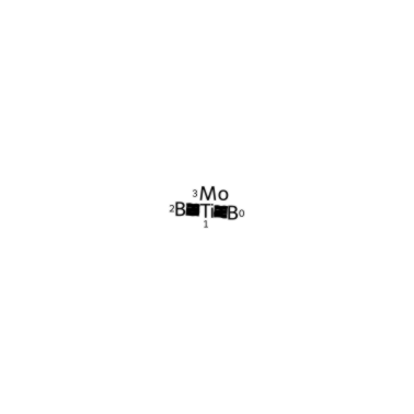 [B]#[Ti]#[B].[Mo]